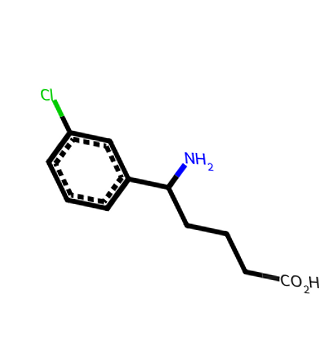 NC(CCCC(=O)O)c1cccc(Cl)c1